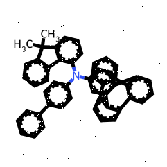 CC1(C)c2ccccc2-c2c(N(c3ccc(-c4ccccc4)cc3)c3ccc4c(c3)-c3c5cccc3-c3cccc-4c3-c3ccccc3-5)cccc21